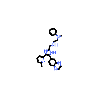 Cc1cccc(-c2nc(CNCCN(C)c3ccccc3)[nH]c2-c2ccc3nccnc3c2)n1